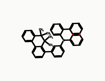 CC1(C)c2ccccc2-c2cccc(-c3cccc(N(c4ccccc4)c4ccccc4-c4ccccc4)c3)c2C1(C)C